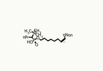 CCCCCCCCC/C=C\CCCCCCOP(=O)(O)C(CCC)[N+](C)(C)C